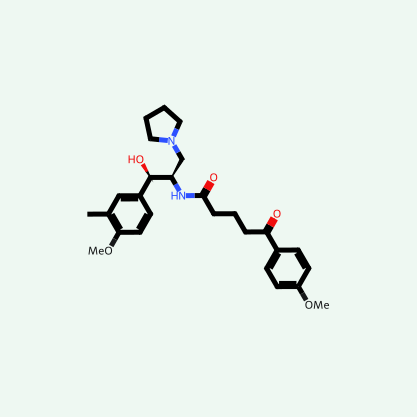 COc1ccc(C(=O)CCCC(=O)N[C@H](CN2CCCC2)[C@H](O)c2ccc(OC)c(C)c2)cc1